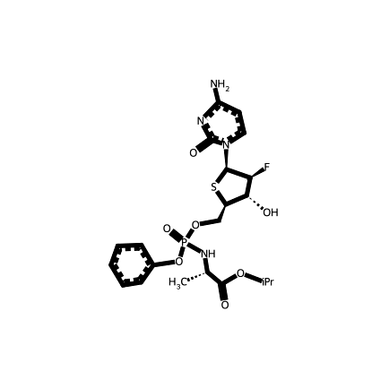 CC(C)OC(=O)[C@H](C)NP(=O)(OC[C@H]1S[C@@H](n2ccc(N)nc2=O)[C@@H](F)[C@@H]1O)Oc1ccccc1